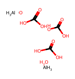 O.O=C(O)O.O=C(O)O.O=C(O)O.[AlH3].[AlH3].[O]